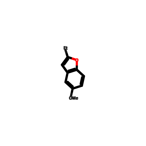 CCc1cc2cc(OC)ccc2o1